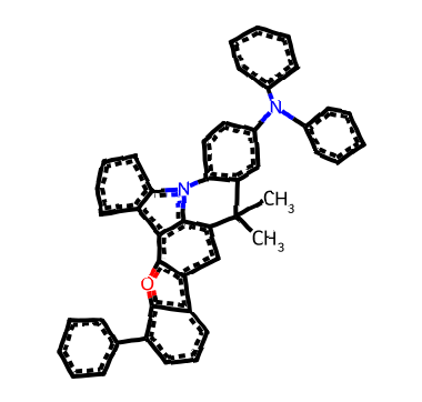 CC1(C)c2cc(N(c3ccccc3)c3ccccc3)ccc2-n2c3ccccc3c3c4oc5c(-c6ccccc6)cccc5c4cc1c32